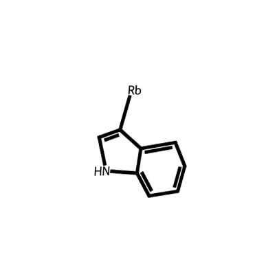 [Rb][c]1c[nH]c2ccccc12